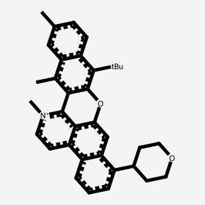 Cc1ccc2c(C(C)(C)C)c3c(c(C)c2c1)-c1c2c(cc4c(C5CCOCC5)cccc4c2cc[n+]1C)O3